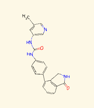 Cc1cncc(NC(=O)Nc2ccc(-c3cccc4c3CNC4=O)cc2)c1